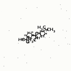 CC(C)c1ccc(CN(C)C(=O)[C@@H]2CCCN(C(=O)O)C2)cc1